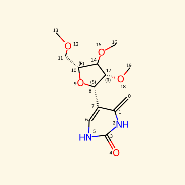 C=C1NC(=O)NC=C1[C@@H]1O[C@H](COC)C(OC)[C@@H]1OC